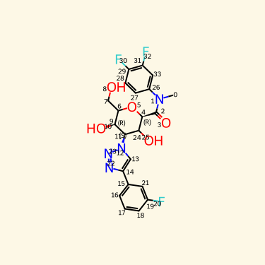 CN(C(=O)[C@@H]1OC(CO)[C@H](O)[C@H](n2cc(-c3cccc(F)c3)nn2)C1O)c1ccc(F)c(F)c1